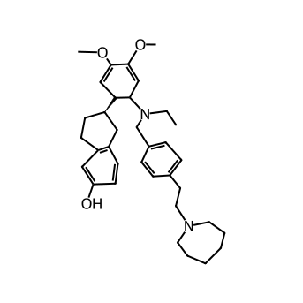 CCN(Cc1ccc(CCN2CCCCCC2)cc1)C1C=C(OC)C(OC)=CC1[C@@H]1CCc2cc(O)ccc2C1